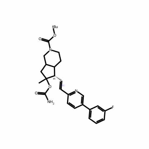 CC(C)(C)OC(=O)N1CCC2C(C1)CC(C)(OC(N)=O)[C@H]2/C=C/c1ccc(-c2cccc(F)c2)cn1